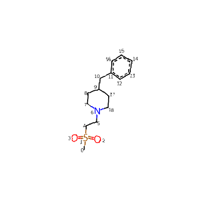 CS(=O)(=O)CCN1CCC(Cc2ccccc2)CC1